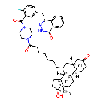 C[C@]12CCC(=O)C[C@@H]1CC(CCCCCCC(=O)N1CCN(C(=O)c3cc(Cc4n[nH]c(=O)c5ccccc45)ccc3F)CC1)[C@@H]1[C@@H]2CC[C@]2(C)[C@@H](O)CC[C@@H]12